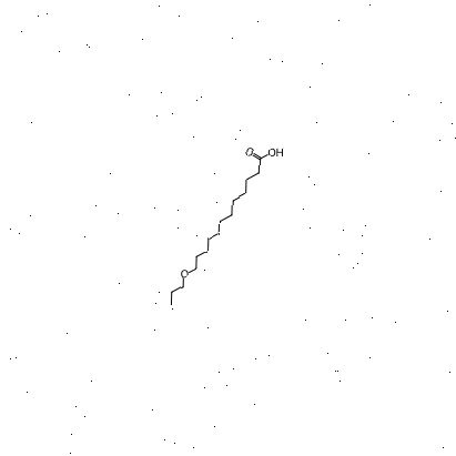 CCCOCCCCCCCCCCCC(=O)O